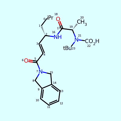 CC(C)C[C@@H](/C=C/C(=O)N1Cc2ccccc2C1)NC(=O)[C@H](C)N(C(=O)O)C(C)(C)C